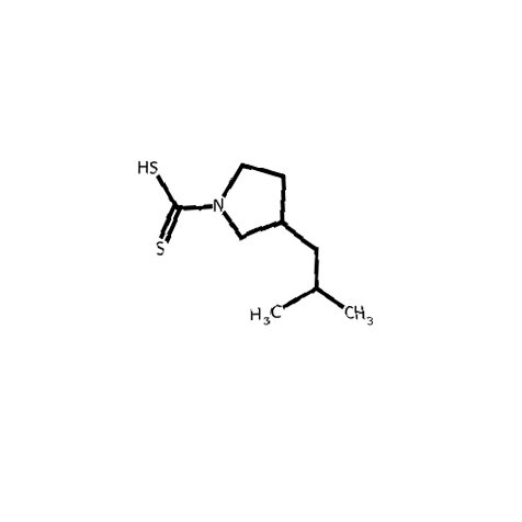 CC(C)CC1CCN(C(=S)S)C1